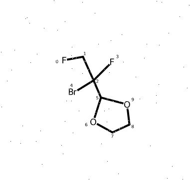 FCC(F)(Br)C1OCCO1